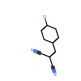 N#CC(C#N)CC1CCC(Cl)CC1